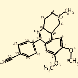 COc1cc2c(cc1OC)C1CN(C)CCC1N=C2c1ccc(C#N)cc1